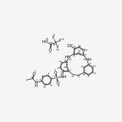 CC(=O)Nc1ccc(S(=O)(=O)Nc2ccc3cc2CCc2cccc(c2)Nc2ncc(Cl)c(n2)N3)cc1.O=C(O)C(F)(F)F